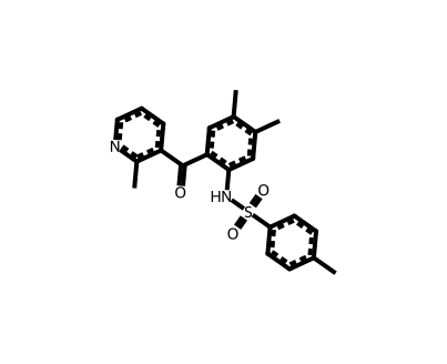 Cc1ccc(S(=O)(=O)Nc2cc(C)c(C)cc2C(=O)c2cccnc2C)cc1